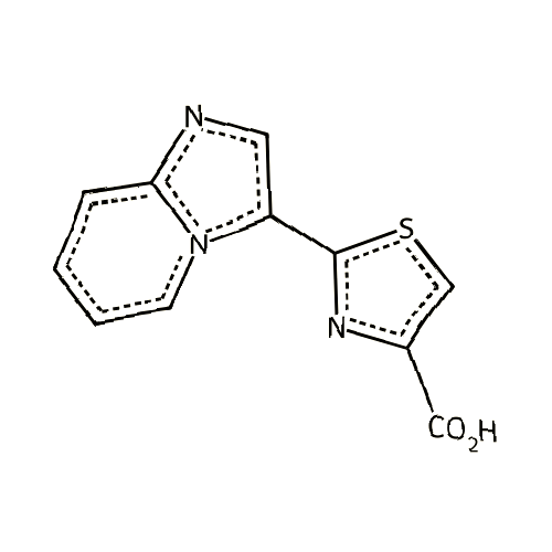 O=C(O)c1csc(-c2cnc3ccccn23)n1